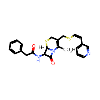 O=C(Cc1ccccc1)NC1C(=O)N2C(C(=O)O)=C(CS/C=C\c3cccnc3)CS[C@H]12